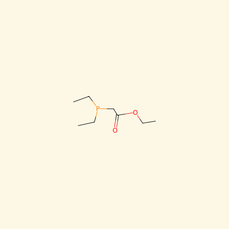 CCOC(=O)CP(CC)CC